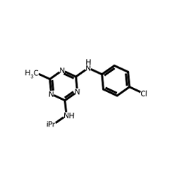 Cc1nc(Nc2ccc(Cl)cc2)nc(NC(C)C)n1